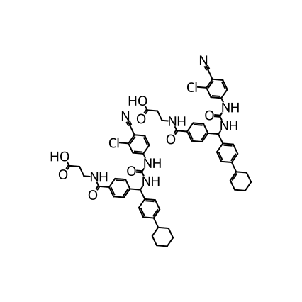 N#Cc1ccc(NC(=O)NC(c2ccc(C(=O)NCCC(=O)O)cc2)c2ccc(C3=CCCCC3)cc2)cc1Cl.N#Cc1ccc(NC(=O)NC(c2ccc(C(=O)NCCC(=O)O)cc2)c2ccc(C3CCCCC3)cc2)cc1Cl